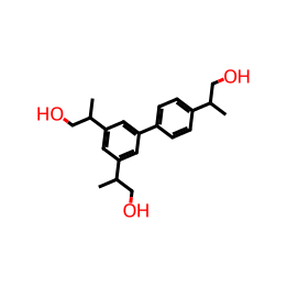 CC(CO)c1ccc(-c2cc(C(C)CO)cc(C(C)CO)c2)cc1